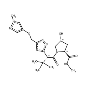 CNC(=O)[C@@H]1C[C@@H](O)CN1C(=O)[C@@H](n1cc(COc2cnn(C)c2)nn1)C(C)(C)C